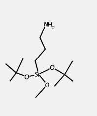 CO[Si](CCCN)(OC(C)(C)C)OC(C)(C)C